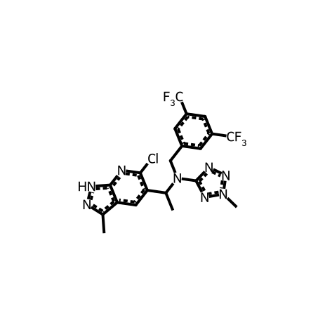 Cc1n[nH]c2nc(Cl)c(C(C)N(Cc3cc(C(F)(F)F)cc(C(F)(F)F)c3)c3nnn(C)n3)cc12